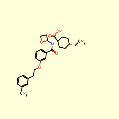 CC[C@H]1CC[C@@](C(=O)O)(N(C(=O)c2cccc(OCCc3cccc(C)c3)c2)C2CCO2)CC1